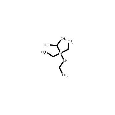 CCN[Si](CC)(CC)C(C)C